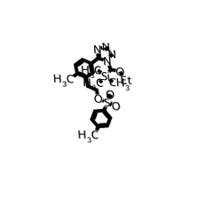 CCOC(n1nnnc1-c1ccc(C)c(CCOS(=O)(=O)c2ccc(C)cc2)c1)[Si](C)(C)C